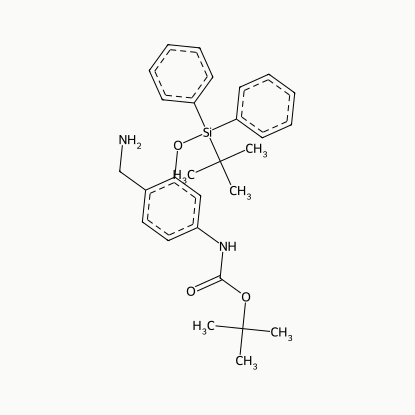 CC(C)(C)OC(=O)Nc1ccc(CN)c(O[Si](c2ccccc2)(c2ccccc2)C(C)(C)C)c1